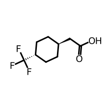 O=C(O)C[C@H]1CC[C@H](C(F)(F)F)CC1